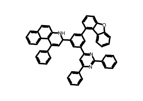 C1=C(c2ccccc2)c2c(ccc3ccccc23)NC1c1cc(-c2cc(-c3ccccc3)nc(-c3ccccc3)n2)cc(-c2cccc3oc4ccccc4c23)c1